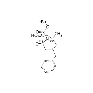 CC(C)(C)OC(=O)N1[C@@]2(C)C[C@H](O)[C@@]1(C)CN(Cc1ccccc1)C2